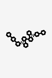 c1ccc(-c2ccc(-c3cccc(-n4c5ccccc5c5c(-c6cccc7c6c6ccccc6n7-c6ccc(-c7ccccc7)cc6)cccc54)c3)cc2)cc1